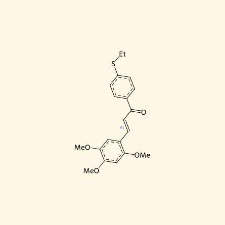 CCSc1ccc(C(=O)/C=C/c2cc(OC)c(OC)cc2OC)cc1